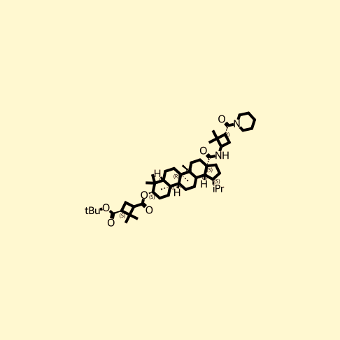 CC(C)[C@@H]1CC[C@]2(C(=O)NC3C[C@@H](C(=O)N4CCCCC4)C3(C)C)CC[C@]3(C)C(CC[C@@H]4[C@@]5(C)CC[C@H](OC(=O)C6C[C@H](C(=O)OC(C)(C)C)C6(C)C)C(C)(C)[C@@H]5CC[C@]43C)[C@@H]12